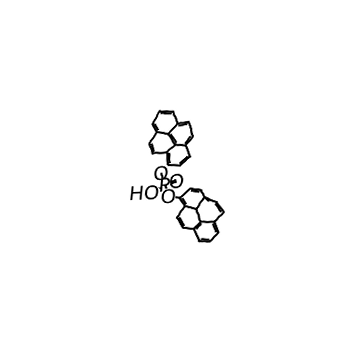 CC12C=CC(OP(=O)(O)Oc3ccc4ccc5cccc6ccc3c4c56)=C3C=Cc4cccc(c4C31)C=C2